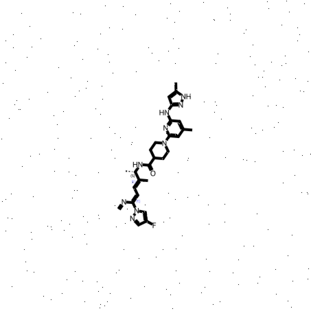 C=N/C(=C\C=C(/C)[C@H](C)NC(=O)C1CCN(c2cc(C)cc(Nc3cc(C)[nH]n3)n2)CC1)n1cc(F)cn1